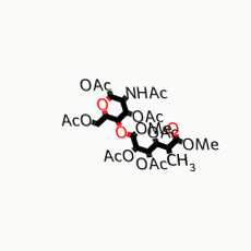 COC(=O)C(C)C(OC(C)=O)C(OC(C)=O)C(OC(C)=O)C(OC)OC1C(COC(C)=O)OC(OC(C)=O)C(NC(C)=O)C1OC(C)=O